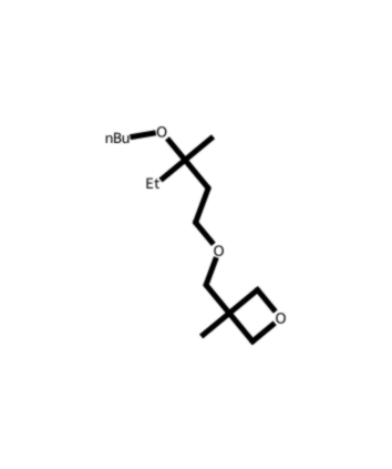 CCCCOC(C)(CC)CCOCC1(C)COC1